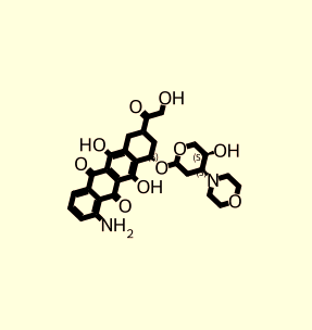 Nc1cccc2c1C(=O)c1c(O)c3c(c(O)c1C2=O)CC(C(=O)CO)C[C@@H]3OC1C[C@H](N2CCOCC2)[C@H](O)CO1